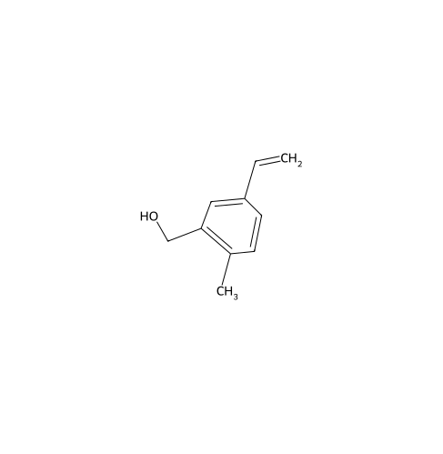 C=Cc1ccc(C)c(CO)c1